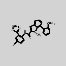 COc1ccccc1-c1cccc2cc(C(=O)Nc3ccc(Br)cc3-c3nnn[nH]3)n(C)c12